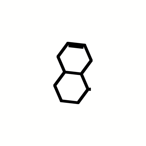 [C]1CCCC2CC=CCC12